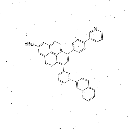 CC(C)(C)c1cc2ccc3c(-c4ccc(-c5cccnc5)cc4)cc(-c4cccc(-c5ccc6ccccc6c5)c4)c4ccc(c1)c2c34